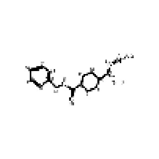 CC(N=[N+]=[N-])C1CCC(C(=O)OCc2ccccc2)CC1